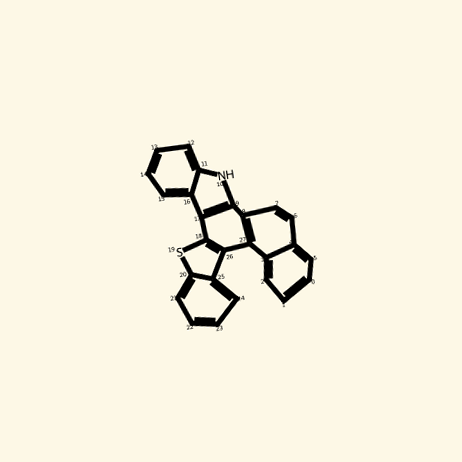 c1ccc2c(c1)ccc1c3[nH]c4ccccc4c3c3sc4ccccc4c3c21